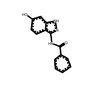 O=C(Nc1n[nH]c2cc(O)ccc12)c1ccccc1